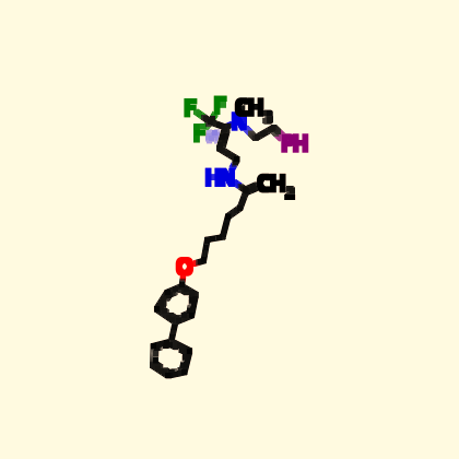 C=C(CCCCCOc1ccc(-c2ccccc2)cc1)NC/C=C(\N(C)CC=P)C(F)(F)F